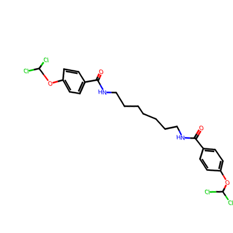 O=C(NCCCCCCCNC(=O)c1ccc(OC(Cl)Cl)cc1)c1ccc(OC(Cl)Cl)cc1